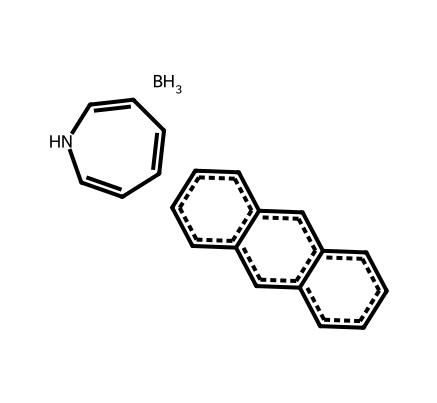 B.C1=CC=CNC=C1.c1ccc2cc3ccccc3cc2c1